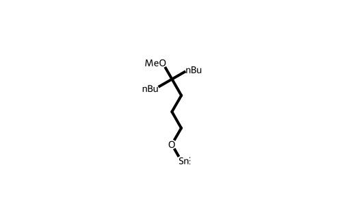 CCCCC(CCCC)(CCC[O][Sn])OC